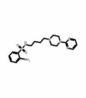 Nc1ccccc1S(=O)(=O)NCCCCN1CCN(c2ncccn2)CC1